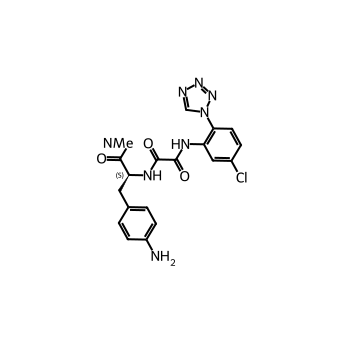 CNC(=O)[C@H](Cc1ccc(N)cc1)NC(=O)C(=O)Nc1cc(Cl)ccc1-n1cnnn1